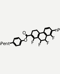 CCCCCc1ccc(OC(=O)C2=C(F)C3=C(CC2)c2ccc(CCC)c(F)c2C(F)C3F)cc1